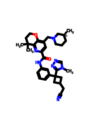 C[C@H]1CCCN(Cc2cc(C(=O)Nc3cccc(C4(c5nncn5C)CC(CC#N)C4)c3)nc3c2OCCC3(C)C)C1